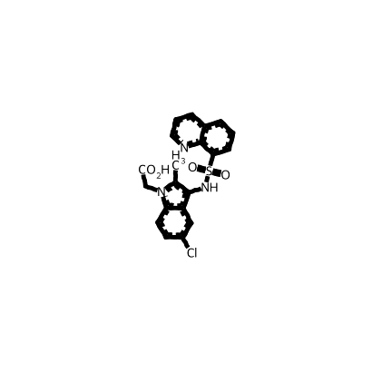 Cc1c(NS(=O)(=O)c2cccc3cccnc23)c2cc(Cl)ccc2n1CC(=O)O